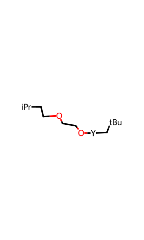 CC(C)CCOCC[O][Y][CH2]C(C)(C)C